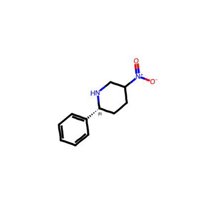 O=[N+]([O-])C1CC[C@H](c2ccccc2)NC1